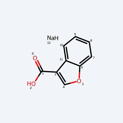 O=C(O)c1coc2ccccc12.[NaH]